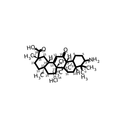 CC1(C)C(N)CC[C@]2(C)[C@H]3C(=O)C=C4[C@H]5C[C@@](C)(C(=O)O)CC[C@]5(C)CC[C@@]4(C)[C@]3(C)CC[C@@H]12.Cl